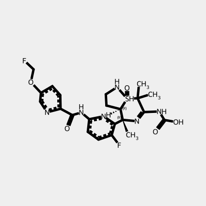 CC1(C)C(NC(=O)O)=N[C@](C)(c2nc(NC(=O)c3ccc(OCF)cn3)ccc2F)[C@H]2CCN[SH]21=O